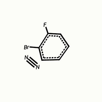 Fc1ccccc1Br.N#N